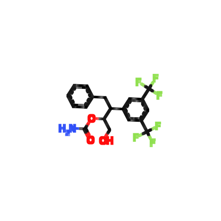 NC(=O)OC(CO)C(Cc1ccccc1)c1cc(C(F)(F)F)cc(C(F)(F)F)c1